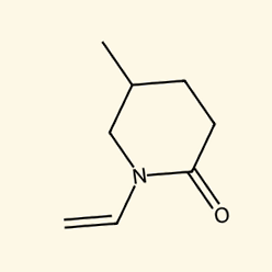 C=CN1CC(C)CCC1=O